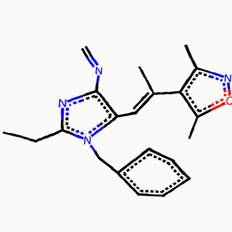 C=Nc1nc(CC)n(Cc2ccccc2)c1/C=C(\C)c1c(C)noc1C